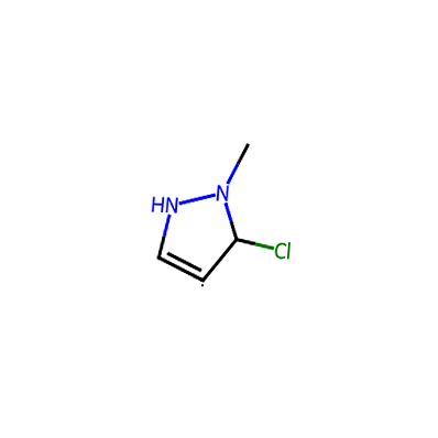 CN1NC=[C]C1Cl